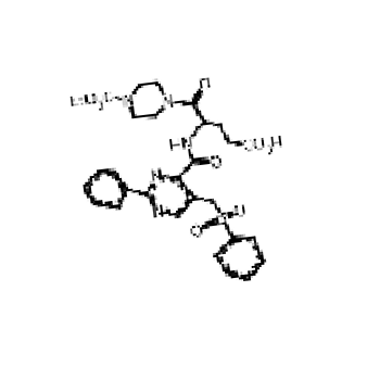 CCOC(=O)N1CCN(C(=O)C(CCC(=O)O)NC(=O)c2nc(-c3ccccc3)ncc2CS(=O)(=O)c2ccccc2)CC1